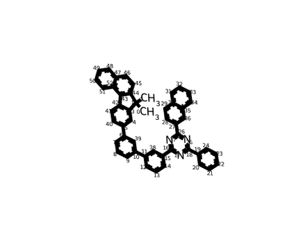 CC1(C)c2cc(-c3cccc(-c4cccc(-c5nc(-c6ccccc6)nc(-c6ccc7ccccc7c6)n5)c4)c3)ccc2-c2c1ccc1ccccc21